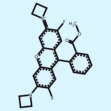 COC(=O)c1ccccc1-c1c2cc(F)c(=[N+]3CCC3)cc-2oc2cc(N3CCC3)c(F)cc12